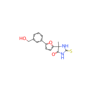 CC1(c2ccc(-c3cccc(CO)c3)o2)NC(=S)NC1=O